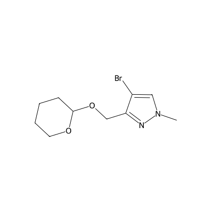 Cn1cc(Br)c(COC2CCCCO2)n1